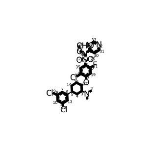 CN(C)[C@H]1C[C@@H](c2cc(Cl)cc(Cl)c2)CC[C@@H]1Oc1cc(F)c(S(=O)(=O)N(OC=O)c2ccncn2)cc1Cl